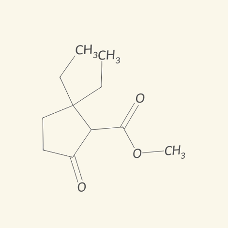 CCC1(CC)CCC(=O)C1C(=O)OC